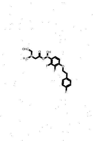 CN(CC=O)CC(=O)OB(O)c1ccc(OCCc2ccc(F)cc2)c(F)c1F